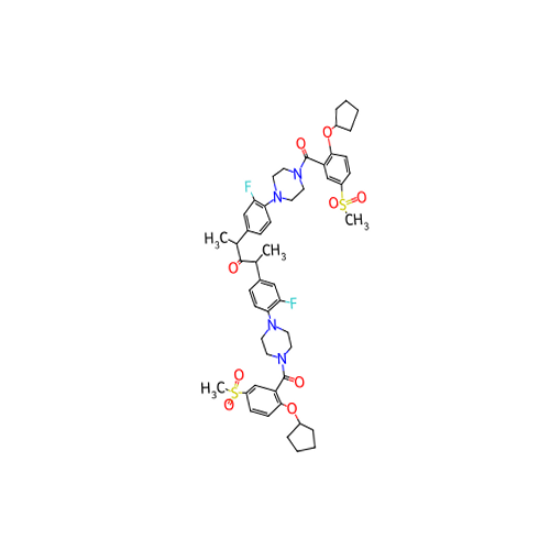 CC(C(=O)C(C)c1ccc(N2CCN(C(=O)c3cc(S(C)(=O)=O)ccc3OC3CCCC3)CC2)c(F)c1)c1ccc(N2CCN(C(=O)c3cc(S(C)(=O)=O)ccc3OC3CCCC3)CC2)c(F)c1